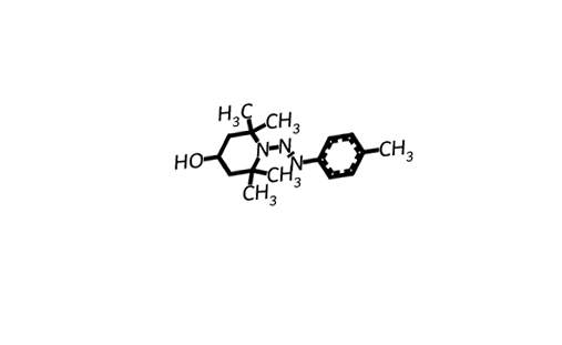 Cc1ccc(/N=N/N2C(C)(C)CC(O)CC2(C)C)cc1